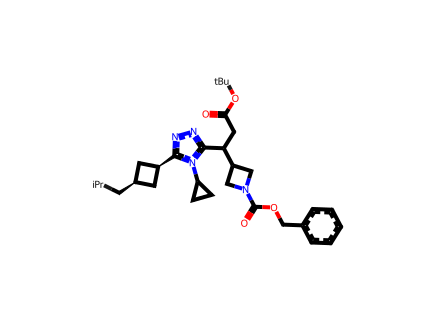 CC(C)C[C@H]1C[C@@H](c2nnc(C(CC(=O)OC(C)(C)C)C3CN(C(=O)OCc4ccccc4)C3)n2C2CC2)C1